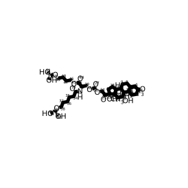 C[C@]12CCC(=O)C=C1CC[C@@H]1[C@@H]2[C@@H](O)C[C@@]2(C)[C@H]1CC[C@]2(O)C(=O)COC(=O)OCC(NC(=O)CCCCCON(O)O)C(=O)OCCCCON(O)O